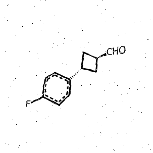 O=C[C@H]1C[C@H](c2ccc(F)cc2)C1